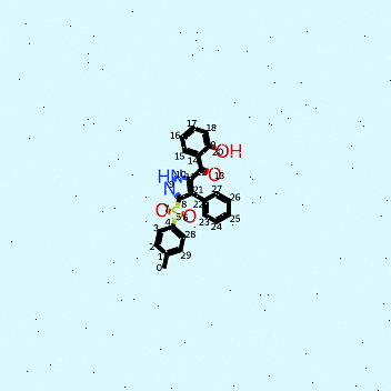 Cc1ccc(S(=O)(=O)c2n[nH]c(C(=O)c3ccccc3O)c2-c2ccccc2)cc1